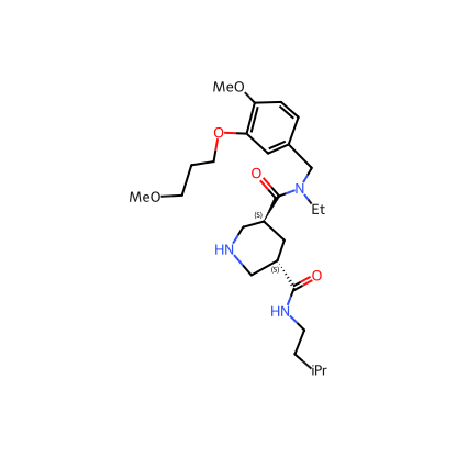 CCN(Cc1ccc(OC)c(OCCCOC)c1)C(=O)[C@@H]1CNC[C@@H](C(=O)NCCC(C)C)C1